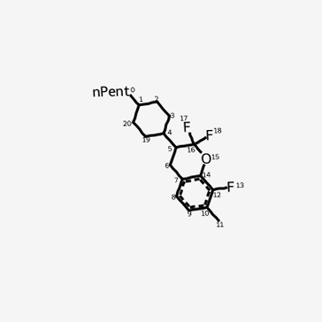 CCCCCC1CCC(C2Cc3ccc(C)c(F)c3OC2(F)F)CC1